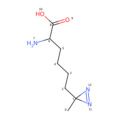 CC1(CCCCC(N)C(=O)O)N=N1